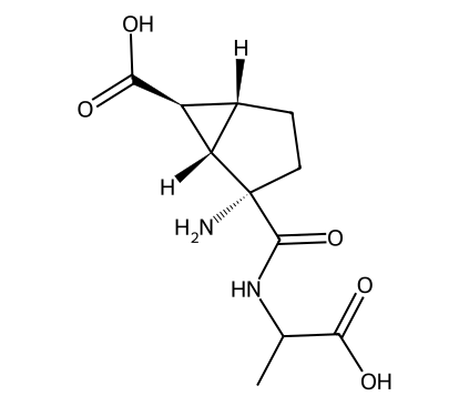 CC(NC(=O)[C@]1(N)CC[C@H]2[C@H](C(=O)O)[C@H]21)C(=O)O